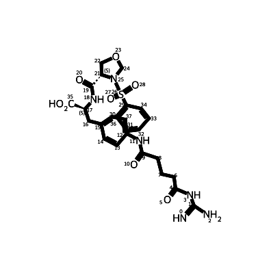 N=C(N)NC(=O)CCCC(=O)Nc1ccc(C[C@H](NC(=O)[C@@H]2COCN2S(=O)(=O)c2ccccc2)C(=O)O)cc1